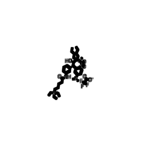 CCCCC1(CCCC)[C@H](O)[C@H](c2cccc(NC(=O)CCCC[N+](CC)(CC)CC)c2)c2cc(N(C)C)ccc2S(=O)(=O)N1C.O=C([O-])C(F)(F)F